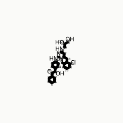 O=C(c1ccccc1)C(O)c1ccc(Nc2nc(Cc3c(Cl)cccc3Cl)cc(NCC(O)CO)n2)cc1